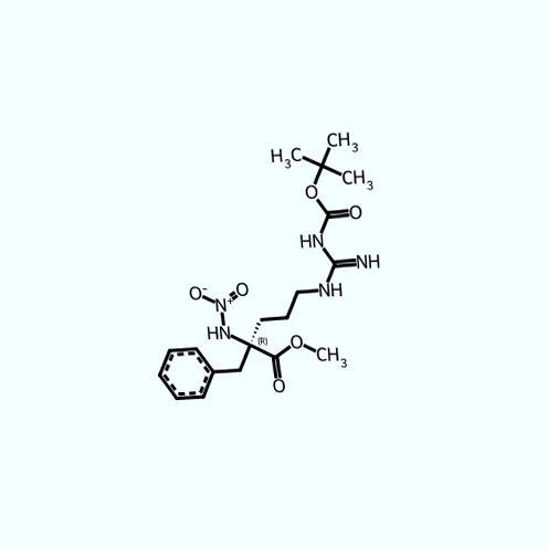 COC(=O)[C@@](CCCNC(=N)NC(=O)OC(C)(C)C)(Cc1ccccc1)N[N+](=O)[O-]